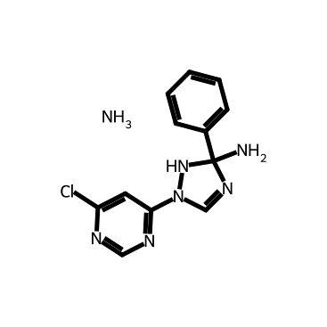 N.NC1(c2ccccc2)N=CN(c2cc(Cl)ncn2)N1